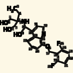 CCC(CO)(CO)NC(O)c1ccnc2c(OCc3c(F)cccc3F)cccc12